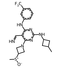 CC1CC(Nc2nc(Nc3cccc(C(F)(F)F)c3)c(C=N)c(N3CC([S+](C)[O-])C3)n2)C1